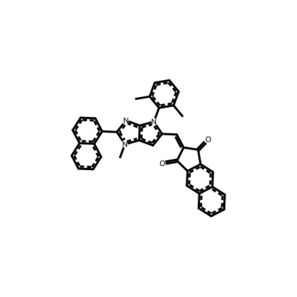 Cc1cccc(C)c1-n1c(C=C2C(=O)c3cc4ccccc4cc3C2=O)cc2c1nc(-c1cccc3ccccc13)n2C